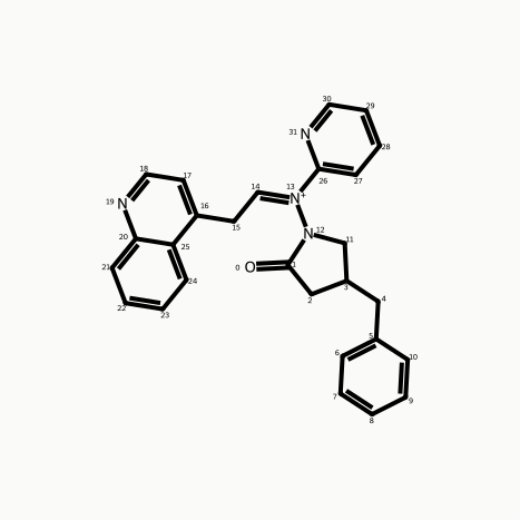 O=C1CC(Cc2ccccc2)CN1[N+](=CCc1ccnc2ccccc12)c1ccccn1